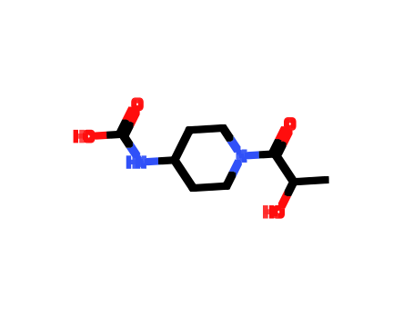 CC(O)C(=O)N1CCC(NC(=O)O)CC1